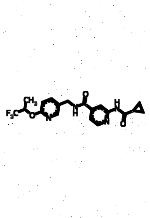 CC(Oc1ccc(CNC(=O)c2ccnc(NC(=O)C3CC3)c2)cn1)C(F)(F)F